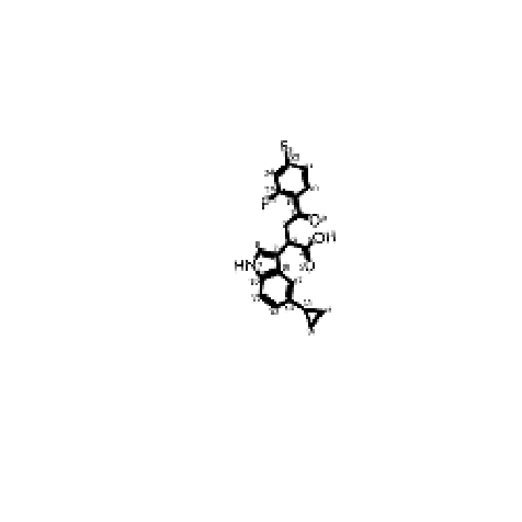 O=C(CC(C(=O)O)c1c[nH]c2ccc(C3CC3)cc12)c1ccc(F)cc1F